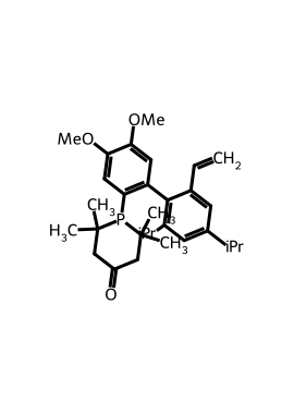 C=Cc1cc(C(C)C)cc(C(C)C)c1-c1cc(OC)c(OC)cc1P1C(C)(C)CC(=O)CC1(C)C